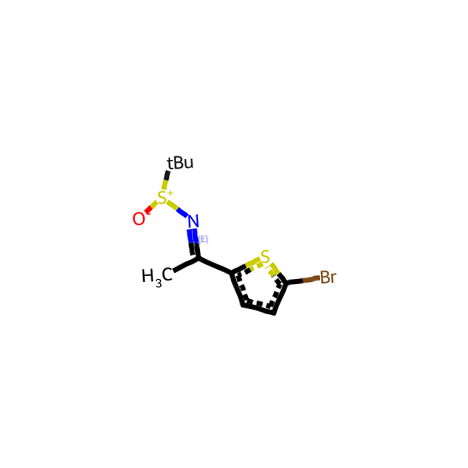 C/C(=N\[S+]([O-])C(C)(C)C)c1ccc(Br)s1